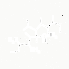 CCC(C)C(N)C(C)C(C(C)C)C(C)(O)C(C)C(N)C(N)CC